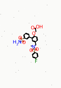 CN(Cc1ccc(OCC(=O)O)c(-c2cccc(S(N)(=O)=O)c2)c1)S(=O)(=O)c1ccc(F)cc1